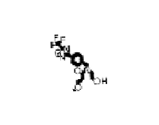 COCCC(=O)N(CCO)Cc1ccc(-c2noc(C(F)(F)F)n2)cc1